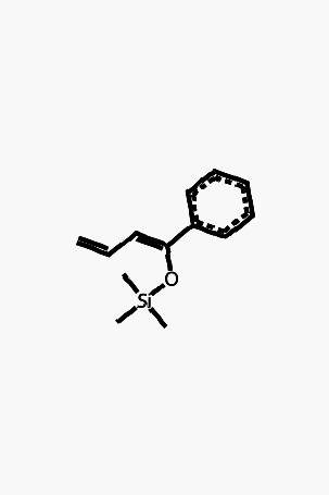 C=CC=C(O[Si](C)(C)C)c1ccccc1